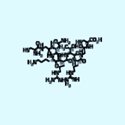 C[C@@H](O)[C@H](NC(=O)[C@H](CCCNC(=N)N)NC(=O)[C@H](CCCCN)NC(=O)[C@H](CC(N)=O)NC(=O)CNC(=O)[C@@H](N)CS)C(=O)N[C@@H](CCCNC(=N)N)C(=O)NCC(=O)N[C@@H](CS)C(=O)O